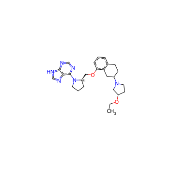 CCOC1CCN(C2CCc3cccc(OC[C@H]4CCCN4c4ncnc5[nH]cnc45)c3C2)C1